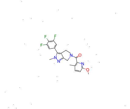 COc1ccc(C)c(C(=O)N2CCc3c(nn(C)c3-c3cc(F)c(F)c(F)c3)C2)n1